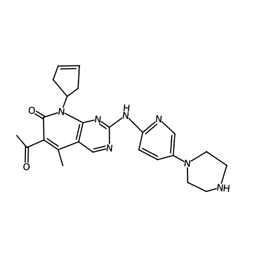 CC(=O)c1c(C)c2cnc(Nc3ccc(N4CCNCC4)cn3)nc2n(C2CC=CC2)c1=O